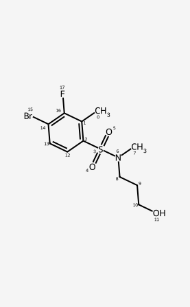 Cc1c(S(=O)(=O)N(C)CCCO)ccc(Br)c1F